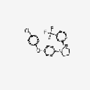 FC(F)(F)c1cccc([C@H]2CCCN2c2ccc(Oc3ccc(Cl)cc3)cc2)c1